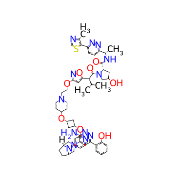 Cc1ncsc1-c1ccc([C@H](C)NC(=O)[C@@H]2C[C@@H](O)CN2C(=O)[C@H](c2cc(OCCN3CCC(OC4CC(Oc5cc(N6C7CC[C@@H]6CN(c6cc(-c8ccccc8O)nnc6N)C7)ccn5)C4)CC3)no2)C(C)C)nn1